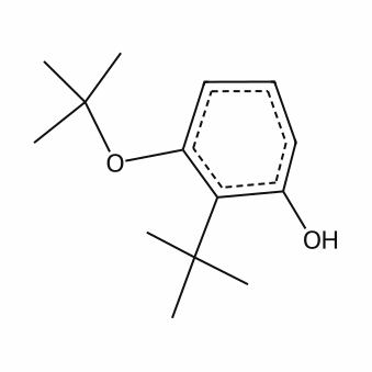 CC(C)(C)Oc1cccc(O)c1C(C)(C)C